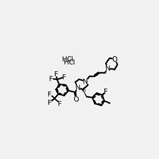 Cc1ccc(C[C@@H]2CN(CC=CCN3CCOCC3)CCN2C(=O)c2cc(C(F)(F)F)cc(C(F)(F)F)c2)cc1F.Cl.Cl